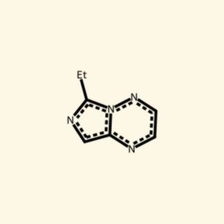 CCc1ncc2nccnn12